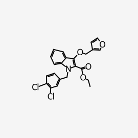 CCOC(=O)c1c(OCc2ccoc2)c2ccccc2n1Cc1ccc(Cl)c(Cl)c1